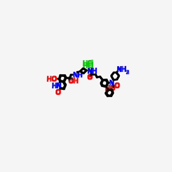 Cl.Cl.NC1CCC(N(C(=O)O)c2cc(CCCC(=O)N[C@H]3C[C@H](CNC[C@H](O)c4ccc(O)c5[nH]c(=O)ccc45)C3)ccc2-c2ccccc2)CC1